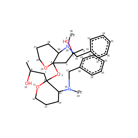 CC(O)CC1(OC2(CC(C)O)OCCCC2N(Cc2ccccc2)C(C)C)OCCCC1N(Cc1ccccc1)C(C)C